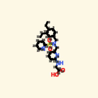 CCc1ccc(CN(Cc2cccc(NCC(=O)O)n2)S(=O)(=O)c2ccccn2)cc1CC